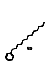 CCCCCCCCCCCCCc1ccccc1.[Na]